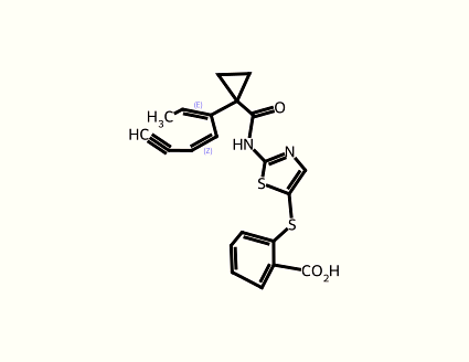 C#C/C=C\C(=C/C)C1(C(=O)Nc2ncc(Sc3ccccc3C(=O)O)s2)CC1